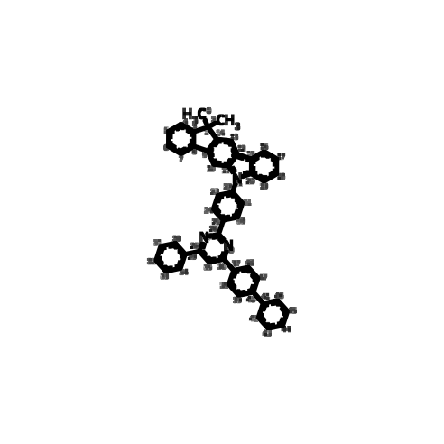 CC1(C)c2ccccc2-c2cc3c(cc21)c1ccccc1n3-c1ccc(-c2nc(-c3ccccc3)cc(-c3ccc(-c4ccccc4)cc3)n2)cc1